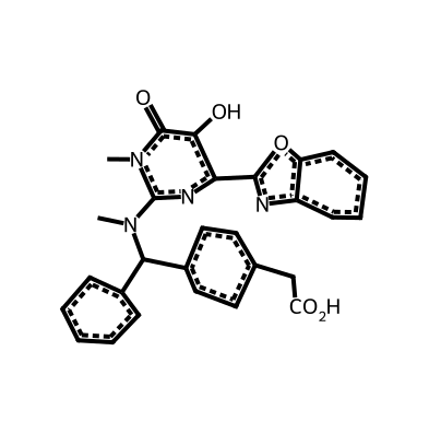 CN(c1nc(-c2nc3ccccc3o2)c(O)c(=O)n1C)C(c1ccccc1)c1ccc(CC(=O)O)cc1